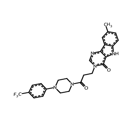 Cc1ccc2[nH]c3c(=O)n(CCC(=O)N4CCN(c5ccc(C(F)(F)F)cc5)CC4)cnc3c2c1